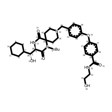 CCCCN1C(=O)[C@@H]([C@H](O)C2CCCCC2)NC(=O)C12CCN(Cc1ccc(Oc3ccc(C(=O)NCCO)cc3)cc1)CC2